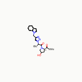 CNC(=O)[C@H]1CC(O)CN1C(=O)C(n1cc(Cn2ccc3ccccc32)nn1)C(C)(C)C